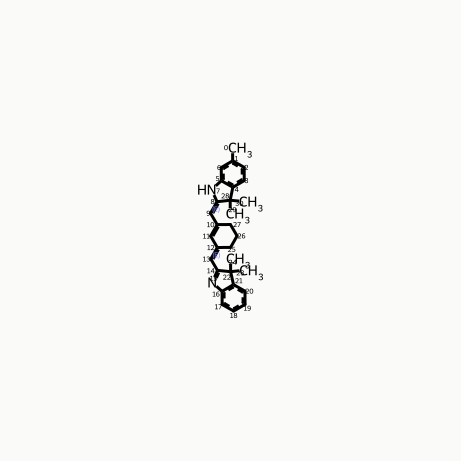 Cc1ccc2c(c1)N/C(=C/C1=CC(=C/C3=Nc4ccccc4C3(C)C)/CCC1)C2(C)C